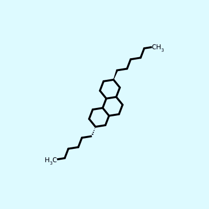 CCCCCC[C@@H]1CCC2C(CCC3C[C@H](CCCCCC)CCC32)C1